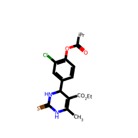 CCOC(=O)C1=C(C)NC(=S)NC1c1ccc(OC(=O)C(C)C)c(Cl)c1